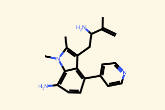 C=C(C)C(N)Cc1c(C)n(C)c2c(N)ccc(-c3ccncc3)c12